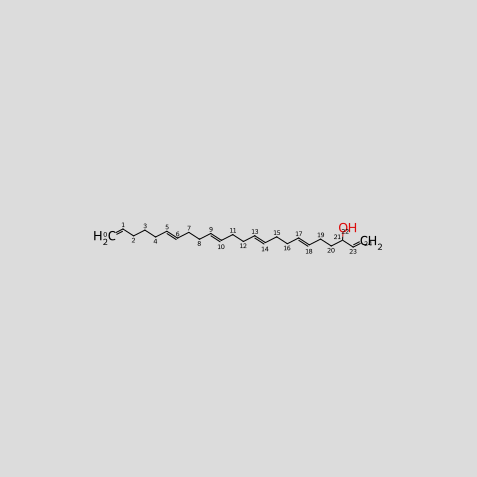 C=CCCC/C=C/CC/C=C/CC/C=C/CC/C=C/CCC(O)C=C